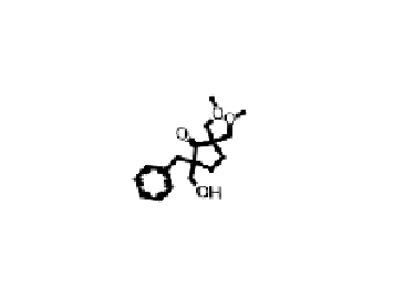 COCC1(COC)CCC(CO)(Cc2ccccc2)C1=O